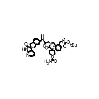 CCC1(C(=O)N(CC(=O)Nc2ccc3c(c2)C[C@@]2(C3)C(=O)Nc3ncccc32)Cc2ccccc2CN(C)C(=O)OC(C)(C)C)CCN(C(N)=O)CC1